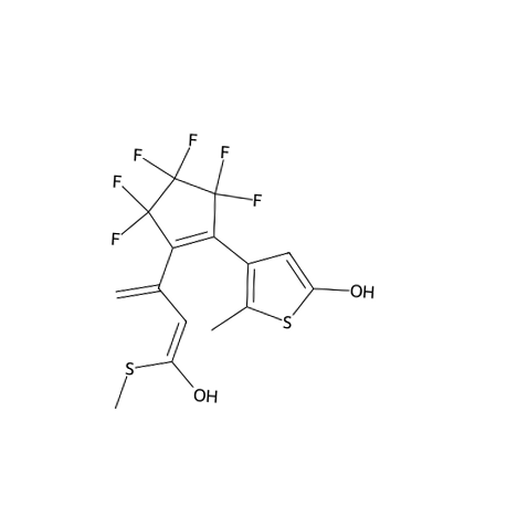 C=C(/C=C(/O)SC)C1=C(c2cc(O)sc2C)C(F)(F)C(F)(F)C1(F)F